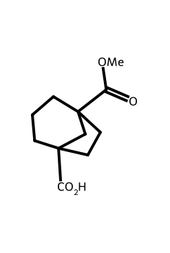 COC(=O)C12CCCC(C(=O)O)(CC1)C2